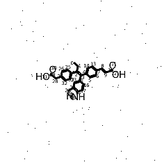 CCC(=C(c1ccc(C=CC(=O)O)cc1)c1ccc2[nH]ncc2c1)c1ccc(CC(=O)O)cc1